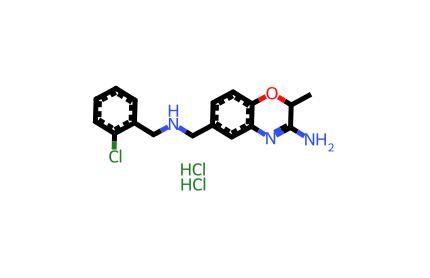 CC1Oc2ccc(CNCc3ccccc3Cl)cc2N=C1N.Cl.Cl